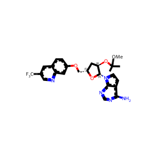 COC(C)(C)O[C@@H]1C[C@@H](COc2ccc3cc(C(F)(F)F)cnc3c2)O[C@H]1n1ccc2c(N)ncnc21